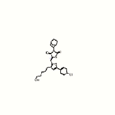 O=C1/C(=C/c2sc(-c3ccc(Cl)cc3)cc2CCCCCO)SC(=S)N1C1CC2CCC1C2